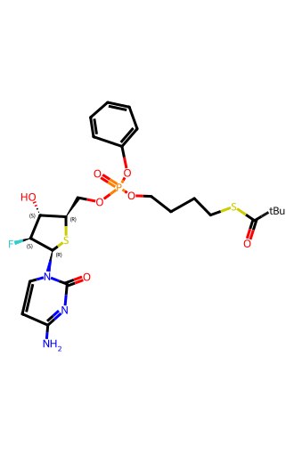 CC(C)(C)C(=O)SCCCCOP(=O)(OC[C@H]1S[C@@H](n2ccc(N)nc2=O)[C@@H](F)[C@@H]1O)Oc1ccccc1